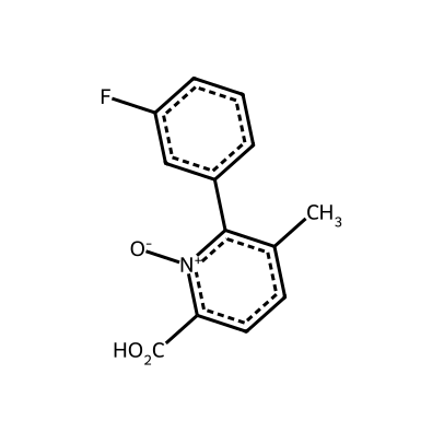 Cc1ccc(C(=O)O)[n+]([O-])c1-c1cccc(F)c1